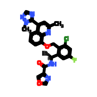 CC[C@H](NC(=O)c1cocn1)c1cc(F)cc(Cl)c1COc1cccc2c(-c3ncnn3C)cc(C)nc12